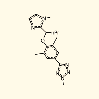 CCCC(Oc1c(C)cc(-c2nnn(C)n2)cc1C)c1nccn1C